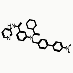 C=C(Nc1cccnc1)c1cccc(N(Cc2ccc(-c3ccc(N(C)C)cc3)cc2)C(=C)C2CCCCC2)c1